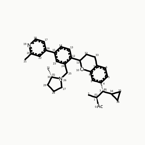 CC(=O)[C@@H](C)[C@H](c1ccc2c(c1)OC(c1ccc(-c3ccnc(C)c3)cc1CN1CCC[C@@H]1C)CC2)C1CC1